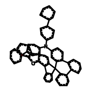 c1ccc(-c2ccc(N(c3ccc(-c4ccccc4)cc3)c3ccc4c(c3)C3(c5ccccc5-c5ccccc5-4)c4ccccc4-c4c3ccc3c4oc4ccccc43)cc2)cc1